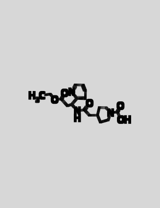 CCOC(=O)CC(NC(=O)CC1CCN(C(=O)O)CC1)c1ccccn1